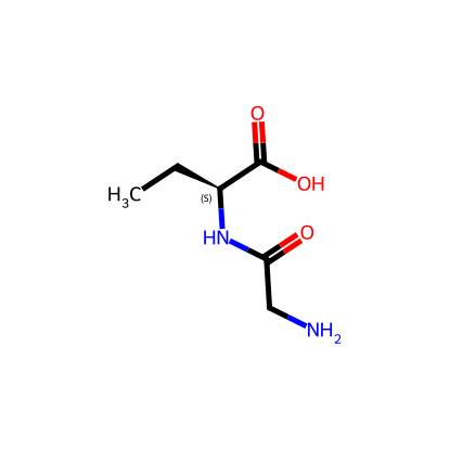 CC[C@H](NC(=O)CN)C(=O)O